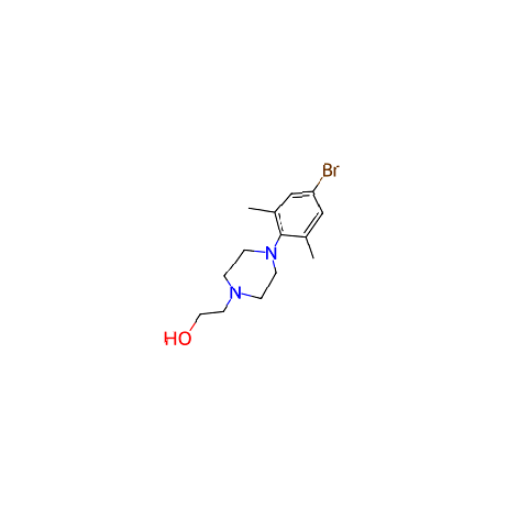 Cc1cc(Br)cc(C)c1N1CCN(CCO)CC1